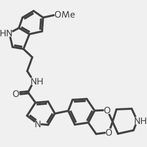 COc1ccc2[nH]cc(CCNC(=O)c3cncc(-c4ccc5c(c4)COC4(CCNCC4)O5)c3)c2c1